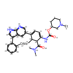 CCN1CCCC(OC(=O)NC2=CC=C(c3cnc4[nH]cc(-c5ccccc5OC)c4c3)C(C)C2C(=O)N(C)C)C1